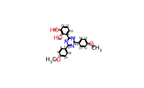 COc1ccc(-c2nc(-c3ccc(OC)cc3)nc(-c3cccc(O)c3O)n2)cc1